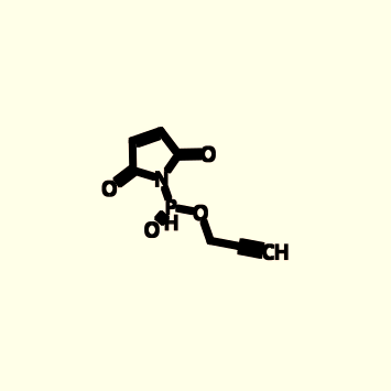 C#CCO[PH](=O)N1C(=O)C=CC1=O